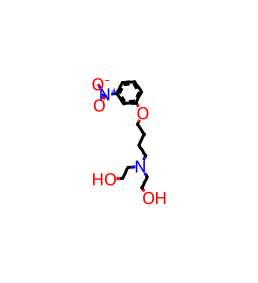 O=[N+]([O-])c1cccc(OCCCCN(CCO)CCO)c1